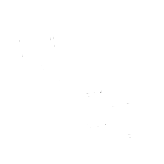 C1=Cc2ccc(-c3cc4ccccc4s3)nc2CC1